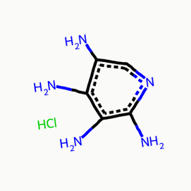 Cl.Nc1cnc(N)c(N)c1N